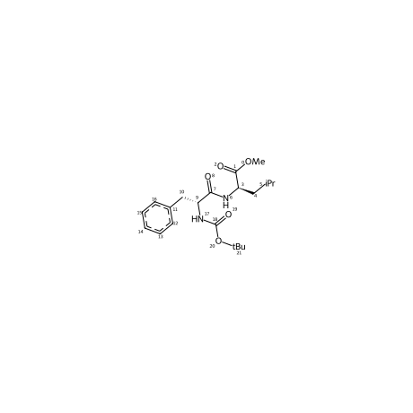 COC(=O)[C@@H](CC(C)C)NC(=O)[C@@H](Cc1ccccc1)NC(=O)OC(C)(C)C